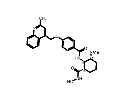 CN[C@H]1CCC[C@@H](C(=O)NO)[C@H]1NC(=O)c1ccc(OCc2cc(C)nc3ccccc23)cc1